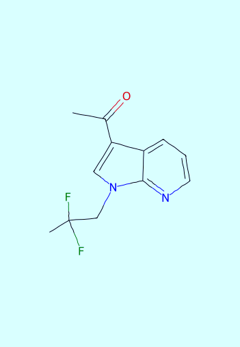 CC(=O)c1cn(CC(C)(F)F)c2ncccc12